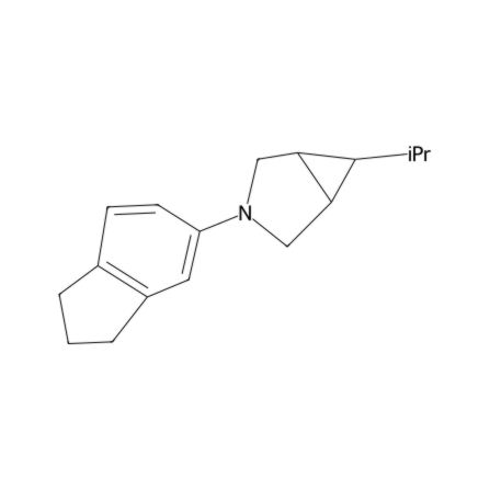 CC(C)C1C2CN(c3ccc4c(c3)CCC4)CC21